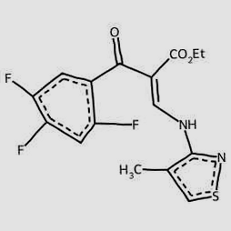 CCOC(=O)C(=CNc1nscc1C)C(=O)c1cc(F)c(F)cc1F